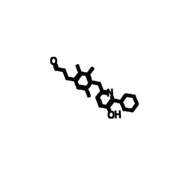 Cc1cc(CCC=O)c(C)c(C)c1Cc1ccc(O)c(C2CCCCC2)n1